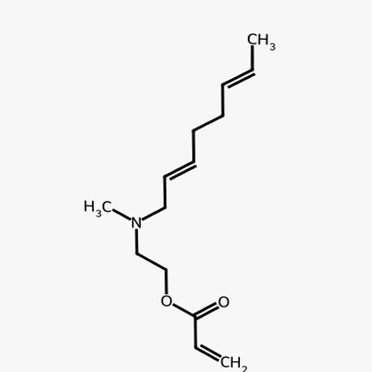 C=CC(=O)OCCN(C)CC=CCCC=CC